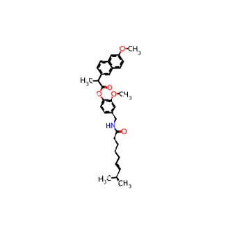 COc1ccc2cc(C(C)C(=O)Oc3ccc(CNC(=O)CCCC/C=C/C(C)C)cc3OC)ccc2c1